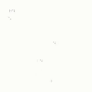 CC(C)(C)OC(=O)NCCNC(c1ccc(Cl)cc1)c1ccc(-c2cn[nH]c2)cc1